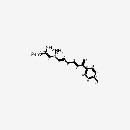 C=C(/C=C/C/C=C/N(N)/C=C(\N)C(C)CCC)c1ccc(C)cc1